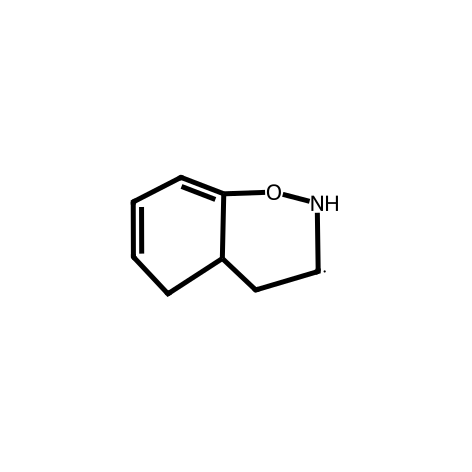 [CH]1CC2CC=CC=C2ON1